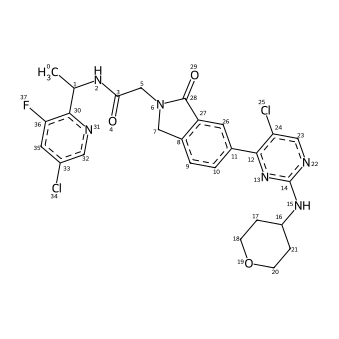 CC(NC(=O)CN1Cc2ccc(-c3nc(NC4CCOCC4)ncc3Cl)cc2C1=O)c1ncc(Cl)cc1F